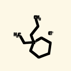 CCC[N+]1(CC)CCCCC1.[Cl-]